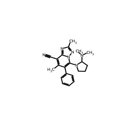 Cc1nc2c(C#N)c(C)c(-c3ccccc3)c(N3CCCC3N(C)C)n2n1